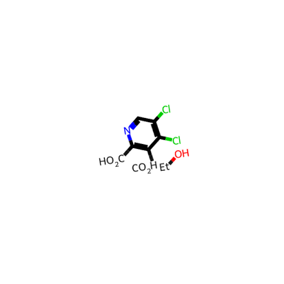 CCO.O=C(O)c1ncc(Cl)c(Cl)c1C(=O)O